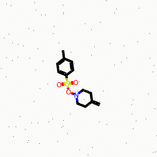 C=C1CCN(OS(=O)(=O)c2ccc(C)cc2)CC1